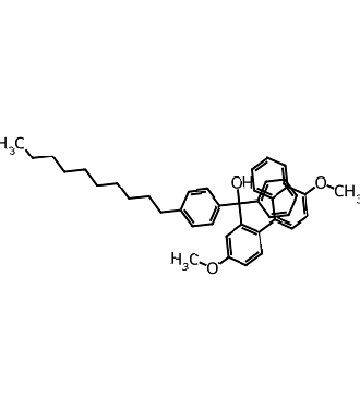 CCCCCCCCCCc1ccc(C(O)(c2ccccc2)c2cc(OC)ccc2-c2ccc(OC)c3ccccc23)cc1